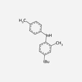 Cc1cc[c]([InH][c]2ccc(C(C)(C)C)cc2C)cc1